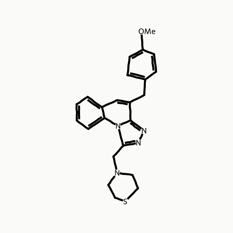 COc1ccc(Cc2cc3ccccc3n3c(CN4CCSCC4)nnc23)cc1